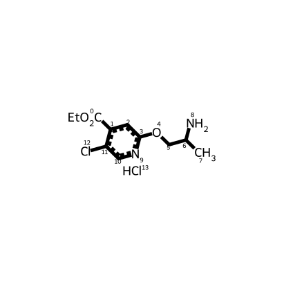 CCOC(=O)c1cc(OCC(C)N)ncc1Cl.Cl